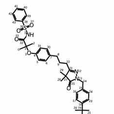 CC(C)(Oc1ccc(CCCC2=NN(Cc3ccc(C(C)(C)C)cc3)C(=O)C2(C)C)cc1)C(=O)NS(=O)(=O)c1ccccc1